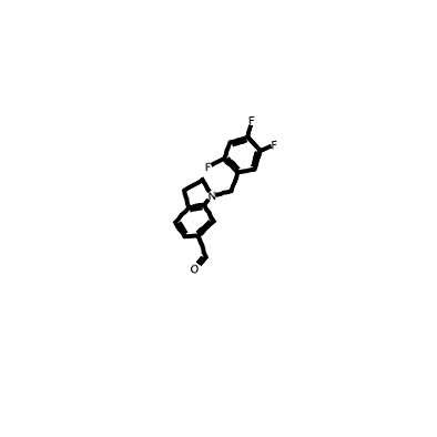 O=Cc1ccc2c(c1)N(Cc1cc(F)c(F)cc1F)CC2